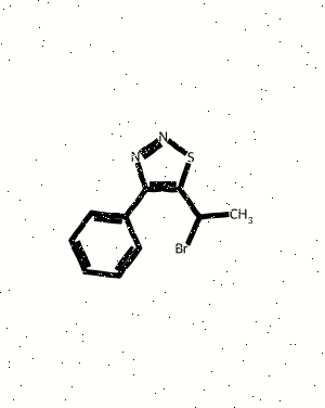 CC(Br)c1snnc1-c1ccccc1